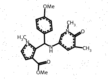 COC(=O)c1ccn(C)c1C(Nc1cc(C)c(=O)n(C)c1)c1ccc(OC)cc1